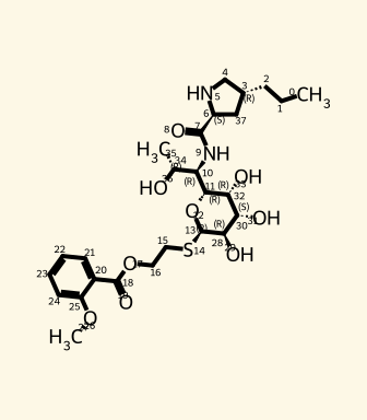 CCC[C@H]1CN[C@H](C(=O)N[C@@H]([C@H]2O[C@H](SCCOC(=O)c3ccccc3OC)[C@H](O)[C@@H](O)[C@H]2O)[C@@H](C)O)C1